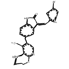 Cc1c(-c2ccc3c(c2)C(=Cc2cc(Br)c[nH]2)C(=O)N3)cnc2c1NCCO2